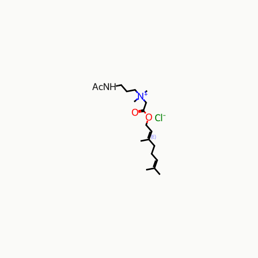 CC(=O)NCCC[N+](C)(C)CC(=O)OC/C=C(\C)CCC=C(C)C.[Cl-]